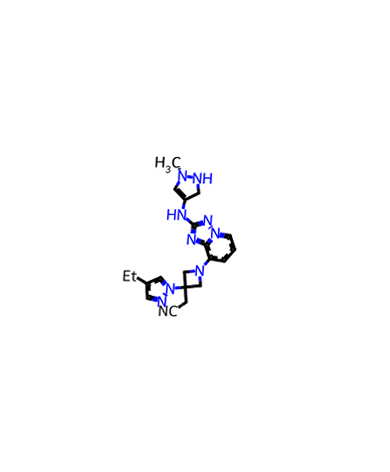 CCc1cnn(C2(CC#N)CN(c3cccn4nc(NC5=CN(C)NC5)nc34)C2)c1